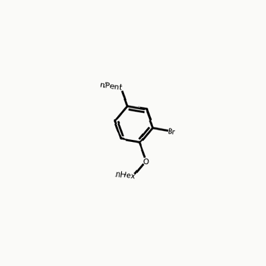 CCCCCCOc1ccc(CCCCC)cc1Br